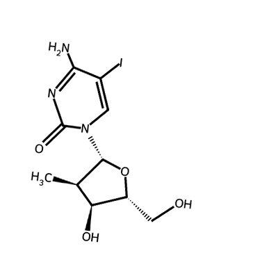 C[C@@H]1[C@H](O)[C@@H](CO)O[C@H]1n1cc(I)c(N)nc1=O